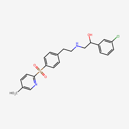 O=C(O)c1ccc(S(=O)(=O)c2ccc(CCNCC(O)c3cccc(Cl)c3)cc2)nc1